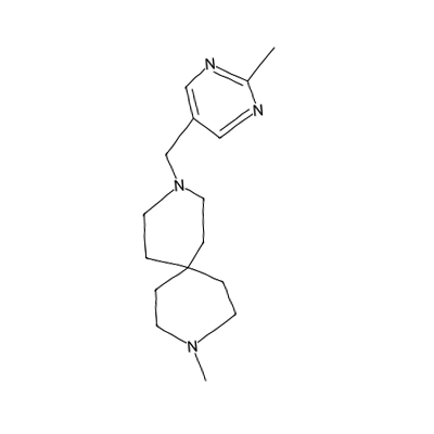 Cc1ncc(CN2CCC3(CCN(C)CC3)CC2)cn1